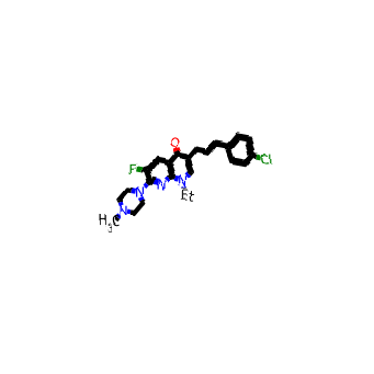 CCn1cc(CC=Cc2ccc(Cl)cc2)c(=O)c2cc(F)c(N3CCN(C)CC3)nc21